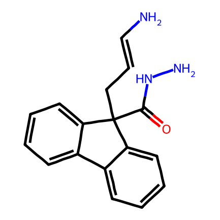 NC=CCC1(C(=O)NN)c2ccccc2-c2ccccc21